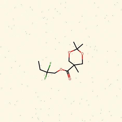 CCC(F)(F)COC(=O)C1(C)COC(C)(C)OC1